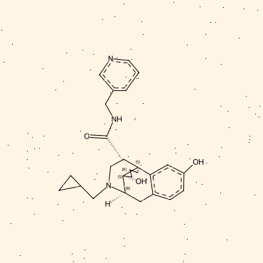 O=C(NCc1cccnc1)[C@@H]1C[C@]23CCN(CC4CC4)[C@H](Cc4ccc(O)cc42)[C@]3(O)C1